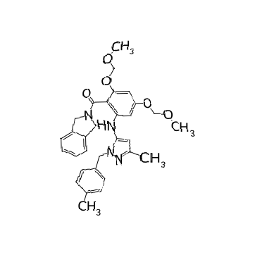 COCOc1cc(Nc2cc(C)nn2Cc2ccc(C)cc2)c(C(=O)N2Cc3ccccc3C2)c(OCOC)c1